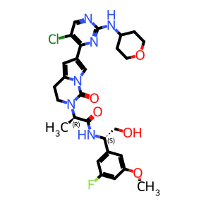 COc1cc(F)cc([C@@H](CO)NC(=O)[C@@H](C)N2CCc3cc(-c4nc(NC5CCOCC5)ncc4Cl)cn3C2=O)c1